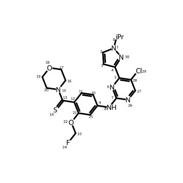 CC(C)n1ccc(-c2nc(Nc3ccc(C(=S)N4CCOCC4)c(OCF)c3)ncc2Cl)n1